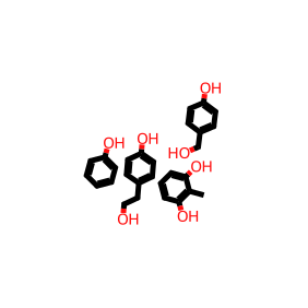 Cc1c(O)cccc1O.OCCc1ccc(O)cc1.OCc1ccc(O)cc1.Oc1ccccc1